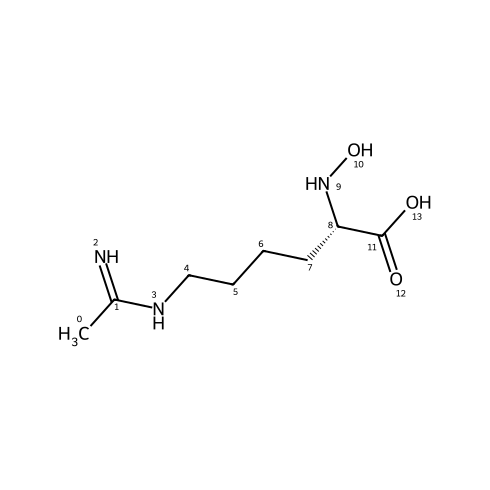 CC(=N)NCCCC[C@H](NO)C(=O)O